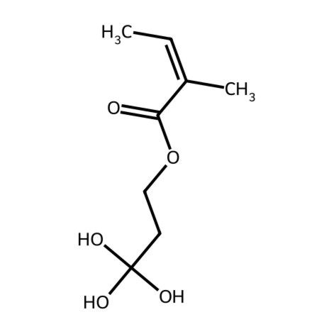 CC=C(C)C(=O)OCCC(O)(O)O